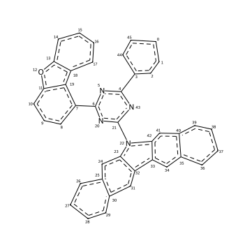 c1ccc(-c2nc(-c3cccc4oc5ccccc5c34)nc(-n3c4cc5ccccc5cc4c4cc5ccccc5cc43)n2)cc1